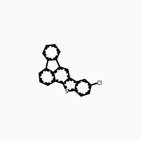 Clc1ccc2sc3c4cccc5c4c(cc3c2c1)-c1ccccc1-5